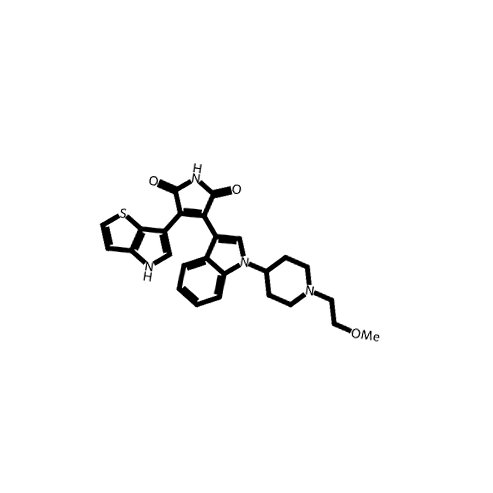 COCCN1CCC(n2cc(C3=C(c4c[nH]c5ccsc45)C(=O)NC3=O)c3ccccc32)CC1